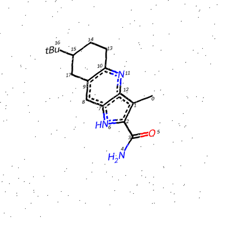 Cc1c(C(N)=O)[nH]c2cc3c(nc12)CCC(C(C)(C)C)C3